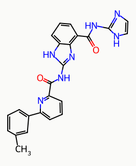 Cc1cccc(-c2cccc(C(=O)Nc3nc4c(C(=O)Nc5ncc[nH]5)cccc4[nH]3)n2)c1